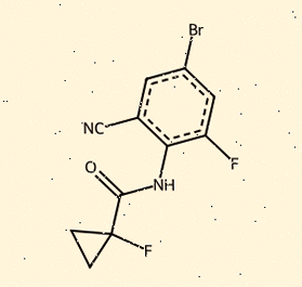 N#Cc1cc(Br)cc(F)c1NC(=O)C1(F)CC1